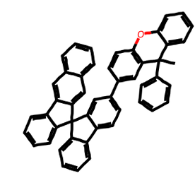 CC1(c2ccccc2)c2ccccc2Oc2ccc(-c3ccc4c(c3)C3(c5ccccc5-4)c4ccccc4-c4cc5ccccc5cc43)cc21